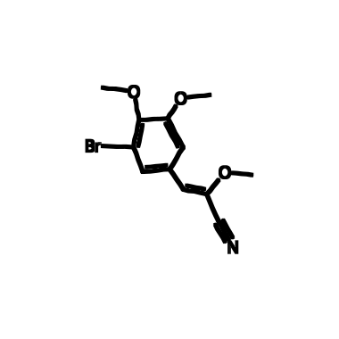 CO/C(C#N)=C\c1cc(Br)c(OC)c(OC)c1